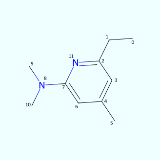 CCc1cc(C)cc(N(C)C)n1